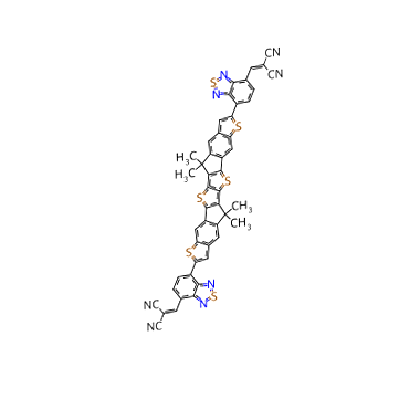 CC1(C)c2cc3cc(-c4ccc(C=C(C#N)C#N)c5nsnc45)sc3cc2-c2sc3c4c(sc3c21)-c1cc2sc(-c3ccc(C=C(C#N)C#N)c5nsnc35)cc2cc1C4(C)C